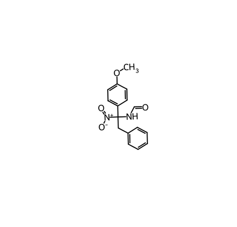 COc1ccc(C(Cc2ccccc2)(NC=O)[N+](=O)[O-])cc1